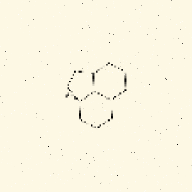 CC(=O)C12CCCC3CCCC(CC1)C32